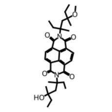 CCC(C)(O)CC(C)(CC)N1C(=O)c2ccc3c4c(ccc(c24)C1=O)C(=O)N(C(C)(CC)CC(C)(CC)OC)C3=O